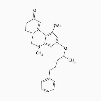 CC(=O)Oc1cc(OC(C)CCCc2ccccc2)cc2c1C1=CC(=O)CCC1CN2C